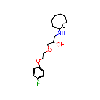 O[C@@H](CNC1CCCCCCC1)COCCOc1ccc(F)cc1